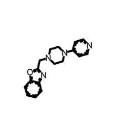 c1ccc2oc(CN3CCN(c4ccncc4)CC3)nc2c1